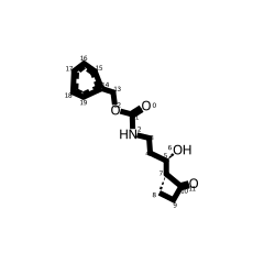 O=C(NCC[C@H](O)[C@H]1CCC1=O)OCc1ccccc1